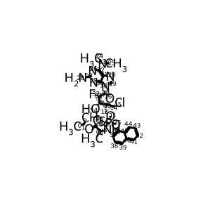 CC(C)OC(=O)[C@@H](C)NP(=S)(OC[C@@]1(CCl)O[C@@H](n2cnc3c(N(C)C)nc(N)nc32)[C@@H](F)[C@@H]1O)Oc1cccc2ccccc12